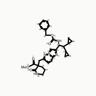 COC(=O)C1(Cc2ccc3nc([C@@H](NC(=O)OCc4ccccc4)C(C4CC4)C4CC4)cn3n2)CCCNC1=O